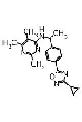 Cc1nc(C)c(C)c(NC(C)c2ccc(-c3nc(C4CC4)no3)cc2)n1